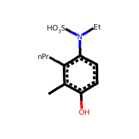 CCCc1c(N(CC)S(=O)(=O)O)ccc(O)c1C